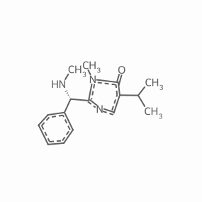 CN[C@@H](c1ccccc1)c1ncc(C(C)C)c(=O)n1C